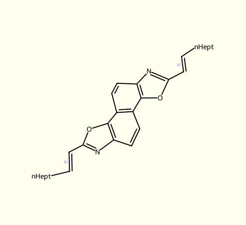 CCCCCCC/C=C/c1nc2ccc3c(ccc4nc(/C=C/CCCCCCC)oc43)c2o1